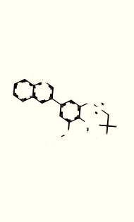 COc1cc(-c2cnc3ccccc3c2)cc(OS(=O)(=O)CC(F)(F)F)c1OC